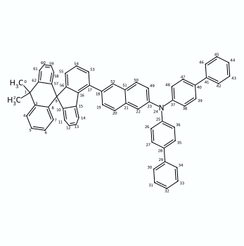 CC1(C)c2ccccc2C2(c3ccccc3-c3c(-c4ccc5cc(N(c6ccc(-c7ccccc7)cc6)c6ccc(-c7ccccc7)cc6)ccc5c4)cccc32)c2ccccc21